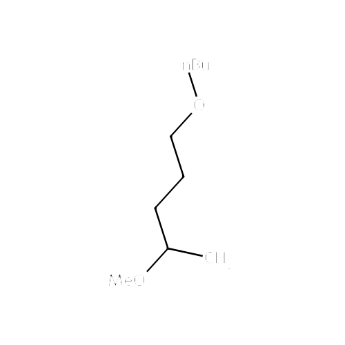 [CH2]C(CCCOCCCC)OC